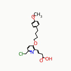 COc1ccc(CCCCOc2ccc(CCl)nc2/C=C/CC(=O)O)cc1